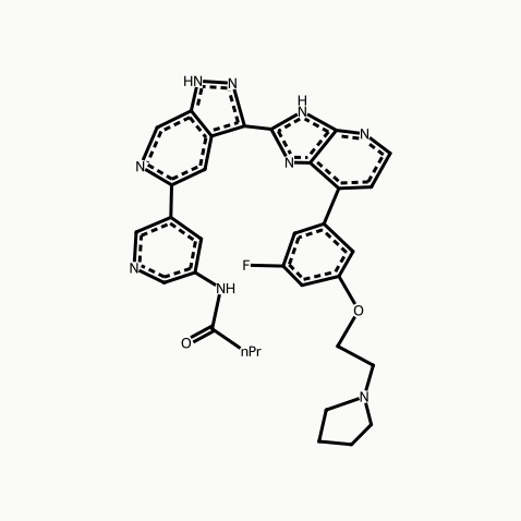 CCCC(=O)Nc1cncc(-c2cc3c(-c4nc5c(-c6cc(F)cc(OCCN7CCCC7)c6)ccnc5[nH]4)n[nH]c3cn2)c1